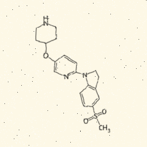 CS(=O)(=O)c1ccc2c(c1)CCN2c1ccc(OC2CCNCC2)cn1